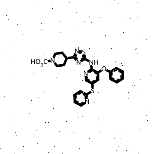 O=C(O)N1CCC(c2nsc(Nc3ncc(Sc4ccccn4)cc3Oc3ccccc3)n2)CC1